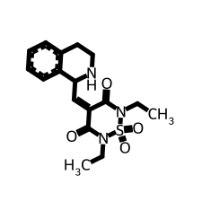 CCN1C(=O)C(=CC2NCCc3ccccc32)C(=O)N(CC)S1(=O)=O